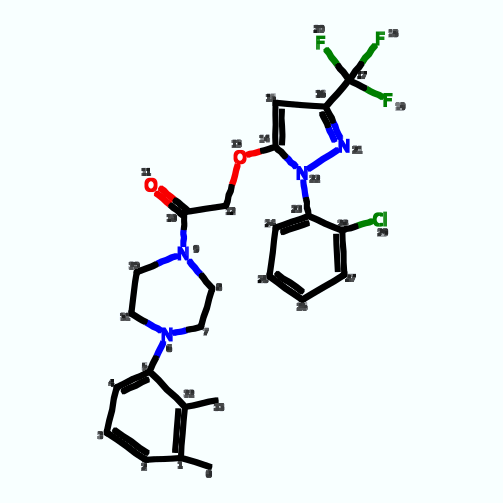 Cc1cccc(N2CCN(C(=O)COc3cc(C(F)(F)F)nn3-c3ccccc3Cl)CC2)c1C